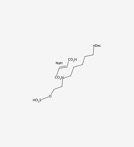 CCCCCCCCCCCCCCCCCCOS(=O)(=O)O.O=C(O)C=CC(=O)O.[NaH]